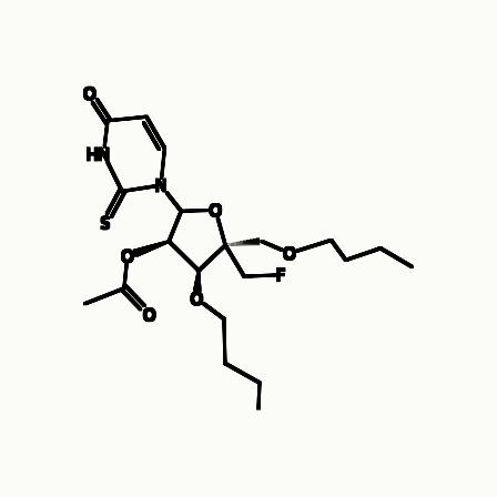 CCCCOC[C@@]1(CF)OC(n2ccc(=O)[nH]c2=S)[C@H](OC(C)=O)[C@@H]1OCCCC